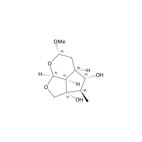 CO[C@@H]1C[C@H]2[C@H](O)[C@@H](C)[C@@]3(O)CO[C@@H](O1)[C@@H]23